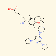 Cc1c(C)c(C(N)CCCCC(=O)O)c(C)c2c1OC(C)(CN1CCN(c3cc(N4CCCC4)nc(N4CCCC4)n3)CC1)CC2